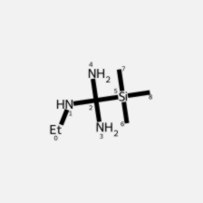 CCNC(N)(N)[Si](C)(C)C